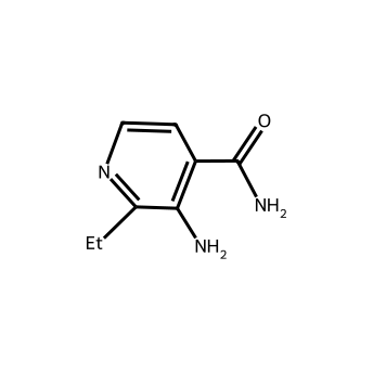 CCc1nccc(C(N)=O)c1N